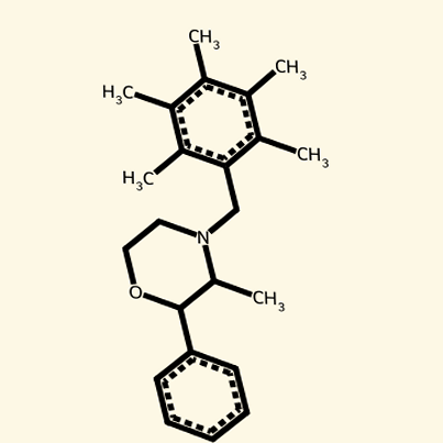 Cc1c(C)c(C)c(CN2CCOC(c3ccccc3)C2C)c(C)c1C